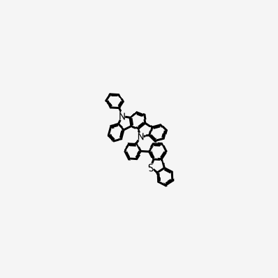 c1ccc(-n2c3ccccc3c3c2ccc2c4ccccc4n(-c4ccccc4-c4cccc5c4sc4ccccc45)c23)cc1